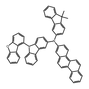 CC1(C)c2ccccc2-c2cc(N(c3ccc4c(ccc5c6ccccc6ccc45)c3)c3ccc4c(c3)c3ccccc3n4-c3cccc4oc5ccccc5c34)ccc21